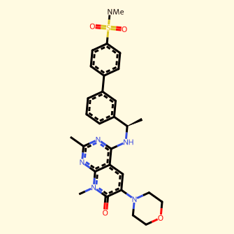 CNS(=O)(=O)c1ccc(-c2cccc([C@@H](C)Nc3nc(C)nc4c3cc(N3CCOCC3)c(=O)n4C)c2)cc1